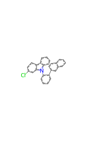 Clc1ccc2c3ccccc3n(-c3ccccc3-c3ccc4ccccc4c3)c2c1